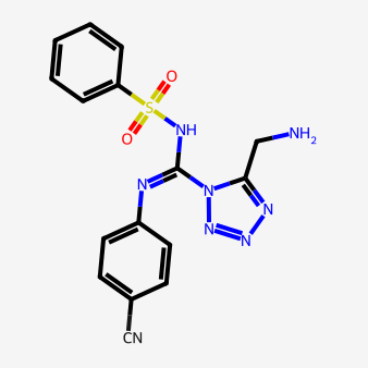 N#Cc1ccc(N=C(NS(=O)(=O)c2ccccc2)n2nnnc2CN)cc1